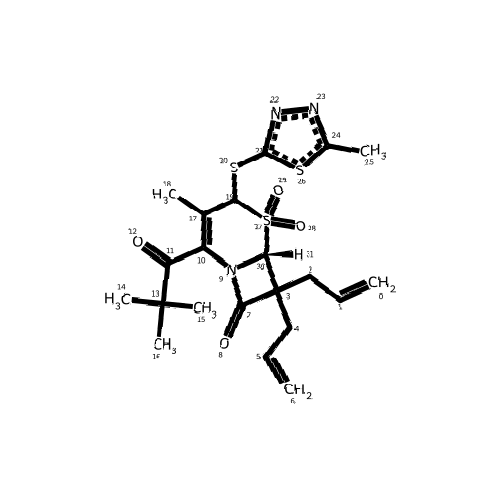 C=CCC1(CC=C)C(=O)N2C(C(=O)C(C)(C)C)=C(C)C(Sc3nnc(C)s3)S(=O)(=O)[C@@H]21